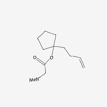 C=CCCC1(OC(=O)CNC)CCCC1